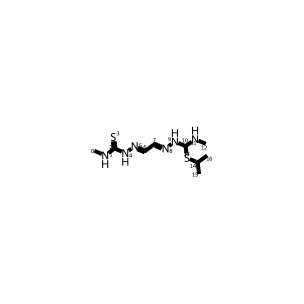 CNC(=S)N/N=C/C=N/NC(NC)SC(C)C